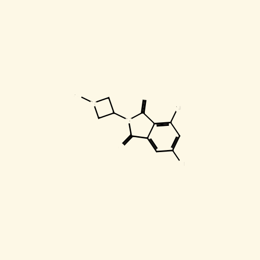 CC(=O)N1CC(N2C(=O)c3cc(Cl)cc(N)c3C2=O)C1